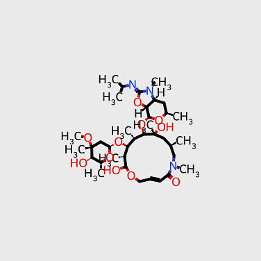 CO[C@]1(C)C[C@H](O[C@H]2[C@H](C)[C@@H](O[C@@H]3O[C@H](C)C[C@H]4[C@H]3O/C(=N\C(C)C)N4C)[C@](C)(O)C[C@@H](C)CN(C)C(=O)/C=C/COC(O)[C@@H]2C)O[C@@H](C)[C@@H]1O